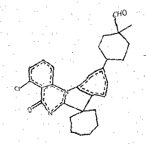 CC1(C=O)CCC(c2ccc3c(c2)-n2c(nc(=O)c4c(Cl)cccc42)C32CCCCC2)CC1